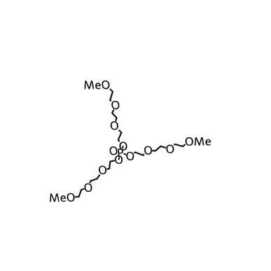 COCCOCCOCCOP(=O)(OCCOCCOCCOC)OCCOCCOCCOC